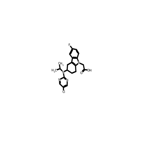 CC(C)N(c1ncc(Cl)cn1)C1CCc2c(c3cc(F)ccc3n2CC(=O)O)C1